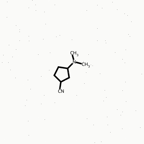 CN(C)C1CCC(C#N)C1